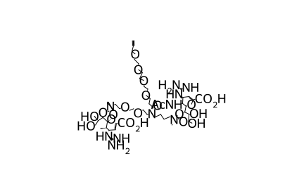 C#CCOCCOCCOCCOCCC(=O)N(CCCCN(C)C(=O)O[C@@H]([C@@H]1OC(C(=O)O)=C[C@H](NC(=N)N)[C@H]1NC(C)=O)[C@H](O)CO)CCOCCOCCN(C)C(=O)O[C@@H]([C@@H]1OC(C(=O)O)=C[C@H](NC(=N)N)[C@H]1C)[C@H](O)CO